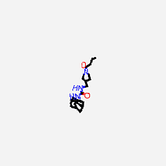 CCCC(=O)N1CCC(CNC(=O)NC23CC4CC(CC(C4)C2)C3)CC1